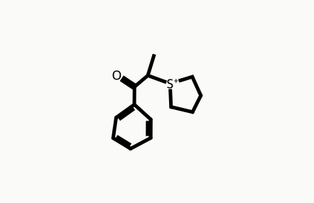 CC(C(=O)c1ccccc1)[S+]1CCCC1